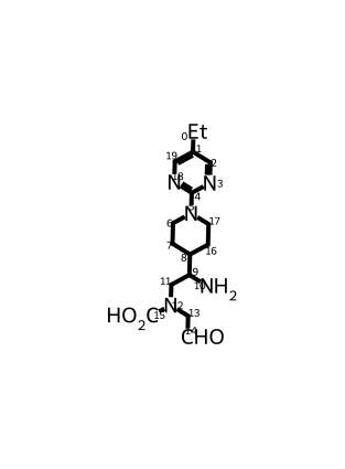 CCc1cnc(N2CCC(C(N)CN(CC=O)C(=O)O)CC2)nc1